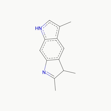 CC1=Nc2cc3[nH]cc(C)c3cc2C1C